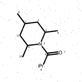 CC1CC(C)N(C(=O)C(C)C)C(C)C1